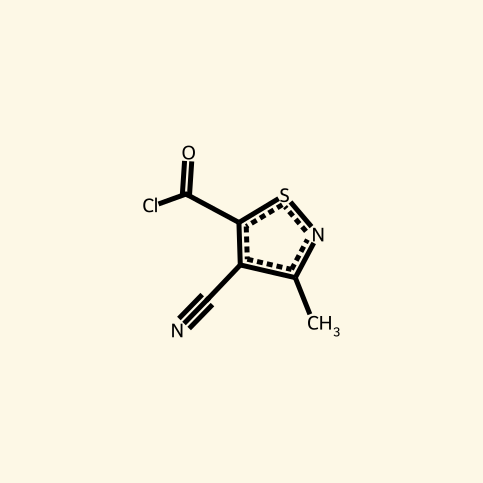 Cc1nsc(C(=O)Cl)c1C#N